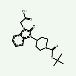 CC(C)(C)OC(=O)N1CCC(n2c(=O)n(CC(=O)O)c3ccccc32)CC1